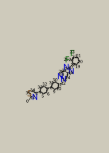 Cc1nc(-c2ccc(-c3ccc(Cn4cc5nc(-c6cccc(F)c6F)nc-5cn4)cc3)cc2)cs1